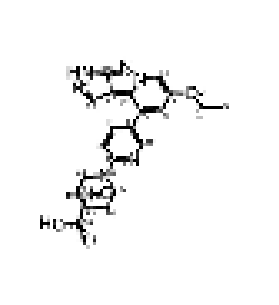 CCOc1cc(-c2ccc(N3CC4CCC3CN4C(=O)O)nc2)c2c3cn[nH]c3nn2c1